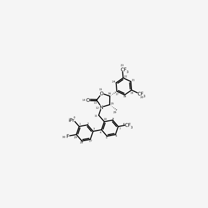 CC(C)c1cc(-c2ccc(C(F)(F)F)cc2CN2C(=O)O[C@H](c3cc(C(F)(F)F)cc(C(F)(F)F)c3)[C@@H]2C)ccc1F